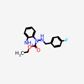 CCOC(=O)N(NCc1ccc(F)cc1)c1ccccc1N